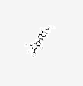 CCCN(CCC)C(=O)C1=Cc2c(Cl)cc(-c3ccc4c(=O)n(CC(=O)NC)ncc4c3)cc2N=C(N)C1